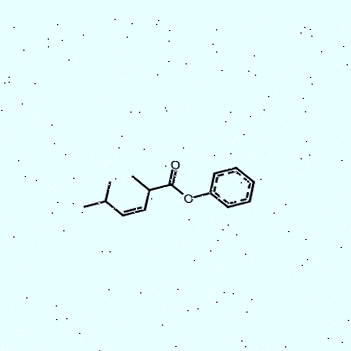 CC(C)/C=C\C(C)C(=O)Oc1ccccc1